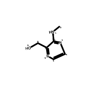 CNc1nccnc1CO